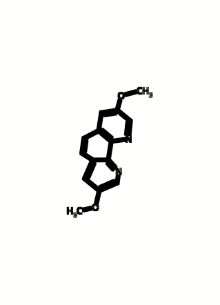 COc1cnc2c(ccc3cc(OC)cnc32)c1